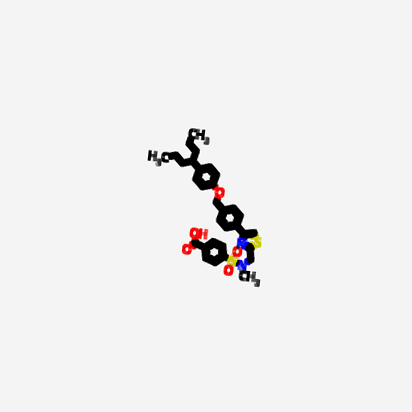 CCCC(CCC)c1ccc(OCc2ccc(-c3csc(CN(C)S(=O)(=O)c4ccc(C(=O)O)cc4)n3)cc2)cc1